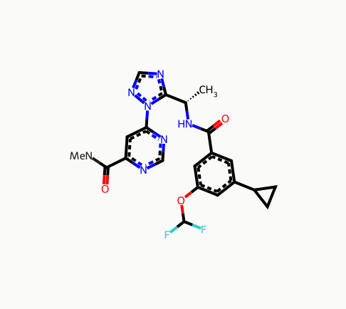 CNC(=O)c1cc(-n2ncnc2[C@H](C)NC(=O)c2cc(OC(F)F)cc(C3CC3)c2)ncn1